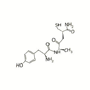 C[C@@H](NC(=O)[C@@H](N)Cc1ccc(O)cc1)C(=O)C[C@@H](CS)C(N)=O